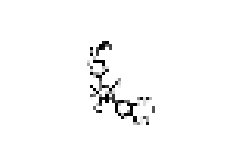 CC(C)Oc1ccc(N2C(=S)N(c3ccc(C#N)c(C(F)(F)F)c3)C(=O)C2(C)C)cn1